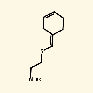 CCCCCCCCSC=C1CC=CCC1